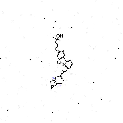 C=C(/C=C1/CC2CC2/C1=C/C)OCc1cccc(-c2cnc(OCCC(C)(C)O)cc2C(F)(F)F)c1